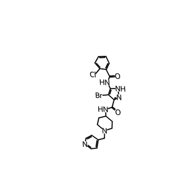 O=C(Nc1[nH]nc(C(=O)NC2CCN(Cc3ccncc3)CC2)c1Br)c1ccccc1Cl